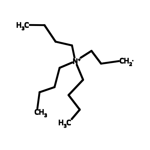 [CH2]CC[N+](CCCC)(CCCC)CCCC